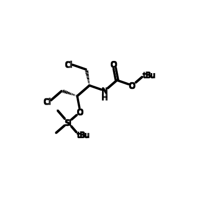 CC(C)(C)OC(=O)N[C@@H](CCl)[C@@H](CCl)O[Si](C)(C)C(C)(C)C